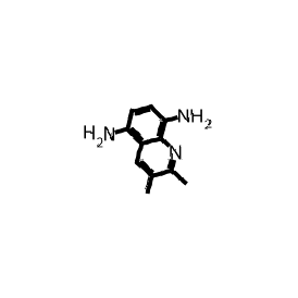 Cc1cc2c(N)ccc(N)c2nc1C